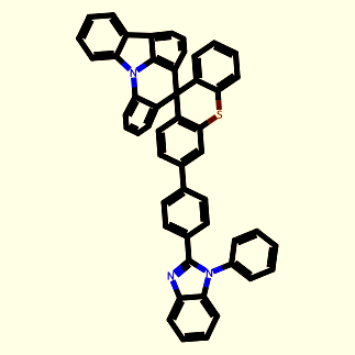 c1ccc(-n2c(-c3ccc(-c4ccc5c(c4)Sc4ccccc4C54c5ccccc5-n5c6ccccc6c6cccc4c65)cc3)nc3ccccc32)cc1